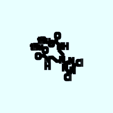 CC(C)(C)OC(=O)NCCN(CCNC(=O)OC(C)(C)C)c1nc(Cl)nc(Cl)n1